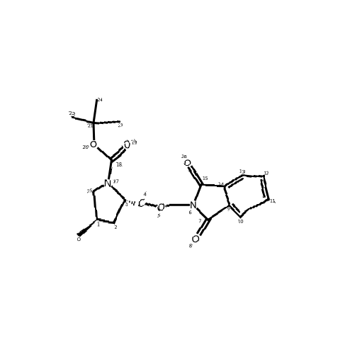 C[C@@H]1C[C@@H](CON2C(=O)c3ccccc3C2=O)N(C(=O)OC(C)(C)C)C1